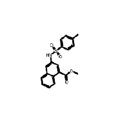 COC(=O)c1cc(NS(=O)(=O)c2ccc(C)cc2)cc2ccccc12